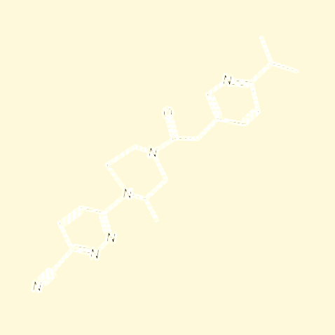 CC(C)c1ccc(CC(=O)N2CCN(c3ccc(C#N)nn3)C(C)C2)cn1